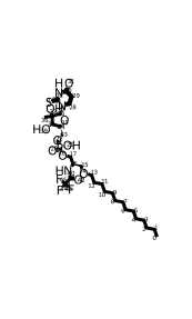 CCCCCCCCCCCCCCOC[C@H](COP(=O)(O)OC[C@H]1O[C@@H](n2ccc(=O)[nH]c2=S)C(C)(O)[C@H]1O)NC(=O)C(F)(F)F